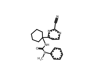 CN(C(=O)NC1(c2ccnc(C#N)n2)CCCCC1)c1ccccc1